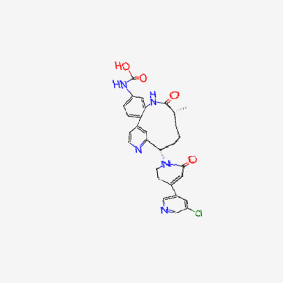 C[C@@H]1CCC[C@H](N2CCC(c3cncc(Cl)c3)=CC2=O)c2cc(ccn2)-c2ccc(NC(=O)O)cc2NC1=O